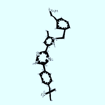 CCOC(=O)Cc1cccc(Cn2nc(-c3nc(-c4ccc(C(C)(C)C(F)(F)F)cc4)no3)cc2C)c1